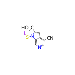 N#Cc1cncc2c1cc(C(=O)O)n2SI